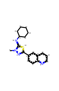 Cn1nc(-c2ccc3ncccc3c2)sc1=NC1CCCCC1